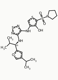 CC(C)c1coc([C@H](Nc2nsnc2Nc2csc(S(=O)(=O)N3CCCC3)c2O)C(C)C)c1